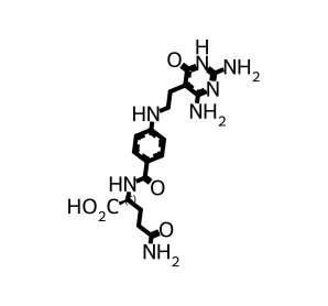 NC(=O)CC[C@H](NC(=O)c1ccc(NCCc2c(N)nc(N)[nH]c2=O)cc1)C(=O)O